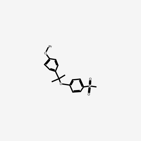 CC(C)Oc1ccc(C(C)(C)Oc2ccc(S(C)(=O)=O)cc2)cc1